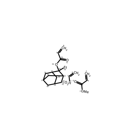 C=CC(=O)O.C=CC(=O)OC.C=CC(=O)OC1(CC)C2CC3CC(C2)CC1C3